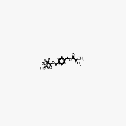 C=C(C)C(=O)OCc1ccc(COC(=O)C(F)(F)S(=O)(=O)O)cc1